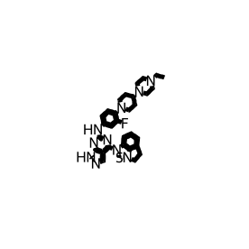 CCN1CCN(C2CCN(c3ccc(Nc4nc(N5SN6CCc7cccc5c76)c5cn[nH]c5n4)cc3F)CC2)CC1